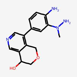 CN(N)c1cc(-c2cncc3c2COCC3O)ccc1N